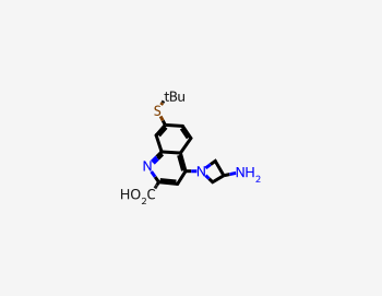 CC(C)(C)Sc1ccc2c(N3CC(N)C3)cc(C(=O)O)nc2c1